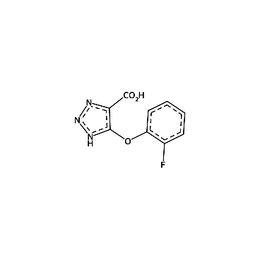 O=C(O)c1nn[nH]c1Oc1ccccc1F